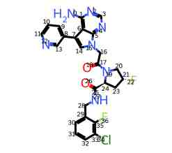 Nc1ncnc2c1c(-c1cccnc1)cn2CC(=O)N1C[C@H](F)C[C@H]1C(=O)NCc1cccc(Cl)c1F